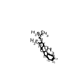 CCN(C)/C=N/c1cc(C)c(OC2Cc3ccccc3C2)nc1C